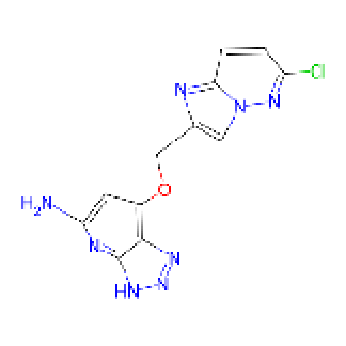 Nc1cc(OCc2cn3nc(Cl)ccc3n2)c2nn[nH]c2n1